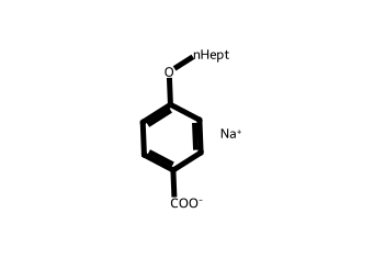 CCCCCCCOc1ccc(C(=O)[O-])cc1.[Na+]